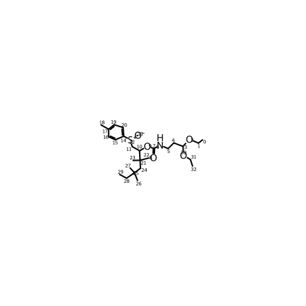 CCOC(CCNC(=O)OC(C[S+]([O-])c1ccc(C)cc1)C(C)(C)CC(C)(C)CC)OCC